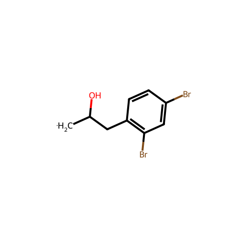 [CH2]C(O)Cc1ccc(Br)cc1Br